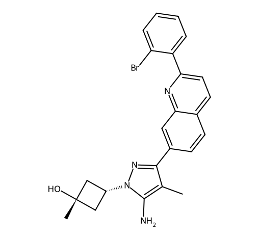 Cc1c(-c2ccc3ccc(-c4ccccc4Br)nc3c2)nn([C@H]2C[C@@](C)(O)C2)c1N